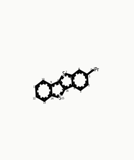 CC(C)c1ccc2c(c1)sc1c3ccccc3sc21